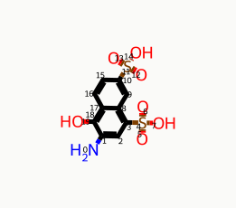 Nc1cc(S(=O)(=O)O)c2cc(S(=O)(=O)O)ccc2c1O